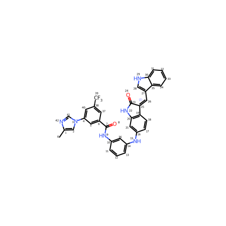 Cc1cn(-c2cc(C(=O)Nc3cccc(Nc4ccc5c(c4)NC(=O)/C5=C\c4c[nH]c5ccccc45)c3)cc(C(F)(F)F)c2)cn1